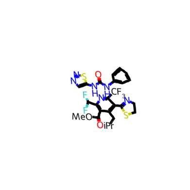 COC(=O)c1c(C(F)F)nc(C(F)(F)F)c(C2=NCCS2)c1CC(C)C.O=C(Nc1ccccc1)Nc1cnns1